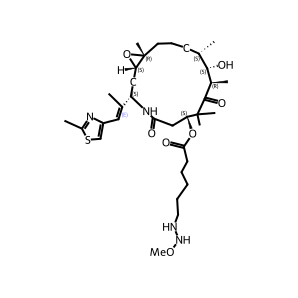 CONNCCCCCC(=O)O[C@H]1CC(=O)N[C@H](/C(C)=C/c2csc(C)n2)C[C@@H]2O[C@]2(C)CCC[C@H](C)[C@H](O)[C@@H](C)C(=O)C1(C)C